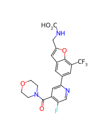 O=C(O)NCc1cc2cc(-c3cc(C(=O)N4CCOCC4)c(F)cn3)cc(C(F)(F)F)c2o1